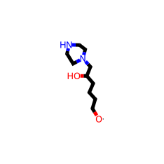 [O]CCCCC(O)CN1CCNCC1